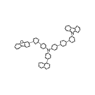 c1cc(-c2ccc(N(c3ccc(-c4ccc(-c5cccc(-n6c7ccccc7c7ccccc76)c5)cc4)cc3)c3ccc(-c4cccc5ccccc45)cc3)cc2)cc(-c2ccc3c(c2)oc2ccccc23)c1